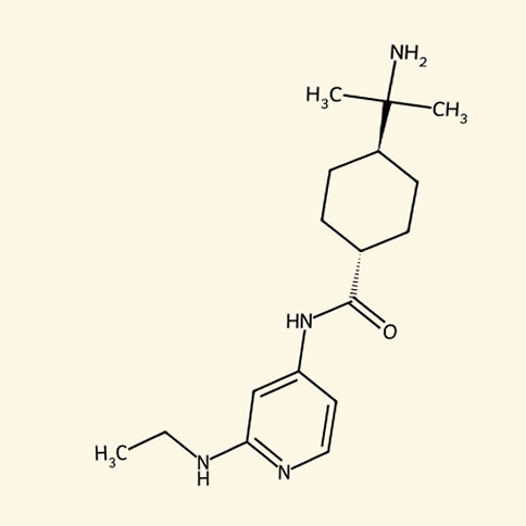 CCNc1cc(NC(=O)[C@H]2CC[C@H](C(C)(C)N)CC2)ccn1